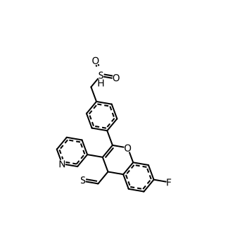 O=[SH](=O)Cc1ccc(C2=C(c3cccnc3)C(C=S)c3ccc(F)cc3O2)cc1